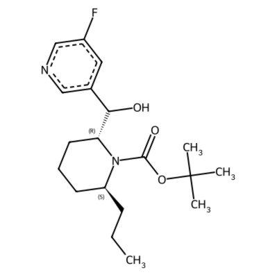 CCC[C@H]1CCC[C@H](C(O)c2cncc(F)c2)N1C(=O)OC(C)(C)C